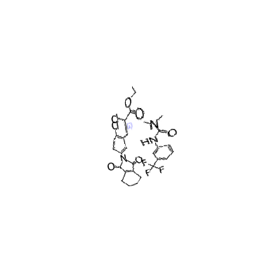 CCOC(=O)/C(Cl)=C/c1cc(N2C(=O)C3=C(CCCC3)C2=O)ccc1Cl.CN(C)C(=O)Nc1cccc(C(F)(F)F)c1